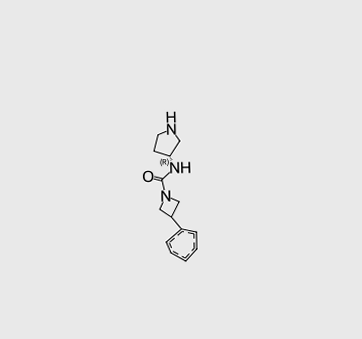 O=C(N[C@@H]1CCNC1)N1CC(c2ccccc2)C1